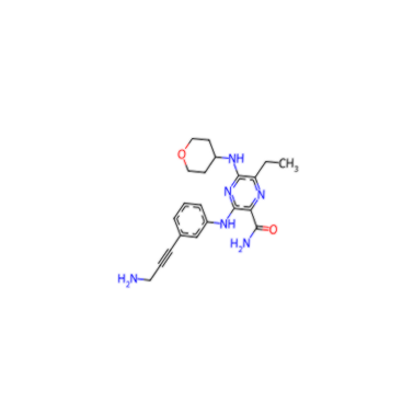 CCc1nc(C(N)=O)c(Nc2cccc(C#CCN)c2)nc1NC1CCOCC1